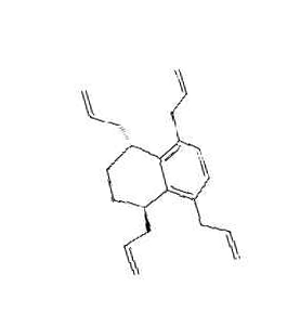 C=CCc1ccc(CC=C)c2c1[C@@H](CC=C)CC[C@@H]2CC=C